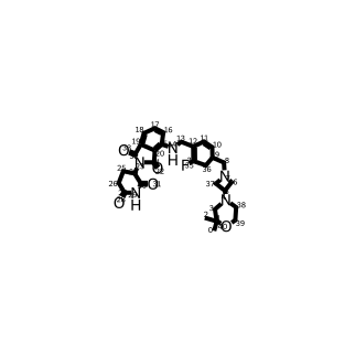 CC1(C)CN(C2CN(CC3C=CC(CNc4cccc5c4C(=O)N(C4CCC(=O)NC4=O)C5=O)=C(F)C3)C2)CCO1